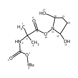 CC(C)(C)OC(=O)NC(C)(C)C(=O)ON1C(O)CCC1O